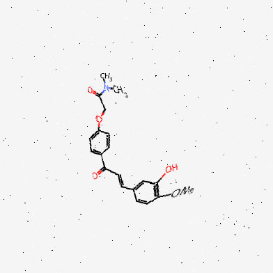 COc1ccc(C=CC(=O)c2ccc(OCC(=O)N(C)C)cc2)cc1O